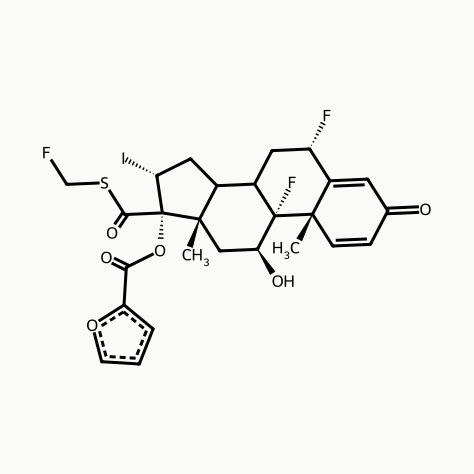 C[C@]12C=CC(=O)C=C1[C@@H](F)CC1C3C[C@@H](I)[C@](OC(=O)c4ccco4)(C(=O)SCF)[C@@]3(C)C[C@H](O)[C@@]12F